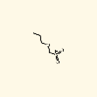 CCCOC[SH](=O)=O